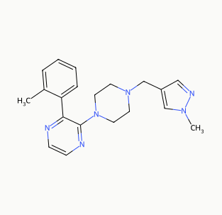 Cc1ccccc1-c1nccnc1N1CCN(Cc2cnn(C)c2)CC1